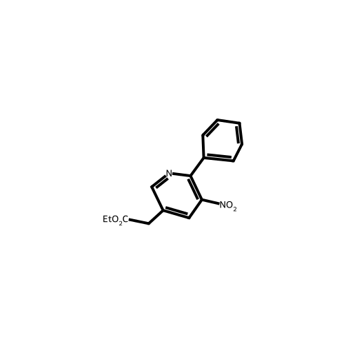 CCOC(=O)Cc1cnc(-c2ccccc2)c([N+](=O)[O-])c1